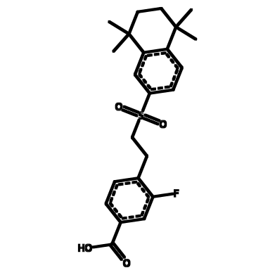 CC1(C)CCC(C)(C)c2cc(S(=O)(=O)CCc3ccc(C(=O)O)cc3F)ccc21